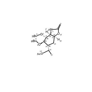 C=C1N[C@@H]2[C@@H](OCCCC)[C@H](OCCCC)[C@@H](C(C)OC(C)=O)C[C@@H]2O1